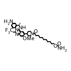 COc1cc2nc(C)nc(N[C@H](C)c3cc(N)cc(C(F)(F)F)c3)c2cc1C1CCN(C(=O)CCCCCCCCCCOC(N)=O)CC1